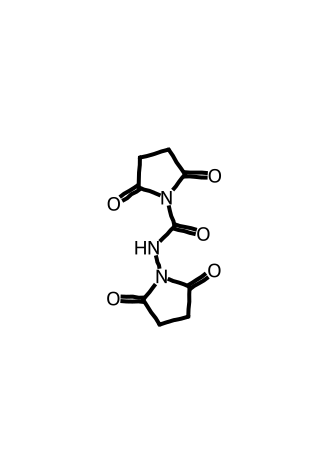 O=C1CCC(=O)N1NC(=O)N1C(=O)CCC1=O